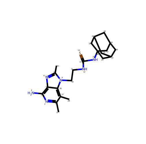 Cc1nc(N)c2nc(C)n(CCNC(=S)NC34CC5CC(CC(C5)C3)C4)c2c1C